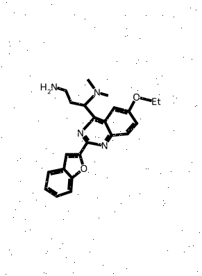 CCOc1ccc2nc(-c3cc4ccccc4o3)nc(C(CCN)N(C)C)c2c1